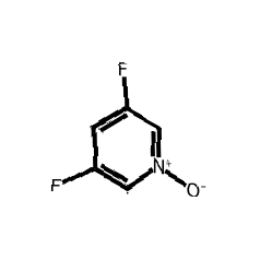 [O-][n+]1[c]c(F)cc(F)c1